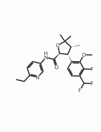 CCc1ccc(NC(=O)[C@H]2OC(C)(C)[C@H](C)[C@@H]2c2ccc(C(F)F)c(F)c2OC)cn1